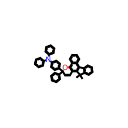 CC1(C)c2ccccc2-c2c1c1c(c3ccccc23)OC(c2ccccc2)(c2ccc(N(c3ccccc3)c3ccccc3)cc2)C=C1